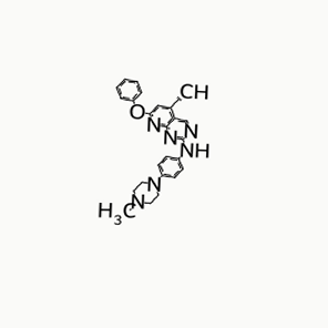 C#Cc1cc(Oc2ccccc2)nc2nc(Nc3ccc(N4CCN(C)CC4)cc3)ncc12